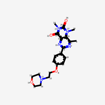 Cc1nc(-c2ccc(OCCN3CCOCC3)cc2)nc2c(=O)n(C)c(=O)n(C)c12